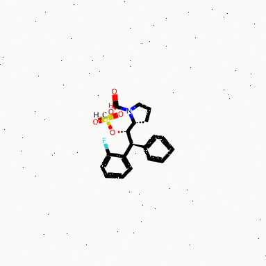 CS(=O)(=O)O[C@@H]([C@@H](c1ccccc1)c1ccccc1F)[C@H]1CCCN1C(=O)O